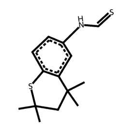 CC1(C)CC(C)(C)c2cc(NC=S)ccc2S1